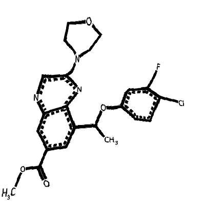 COC(=O)c1cc(C(C)Oc2ccc(Cl)c(F)c2)c2nc(N3CCOCC3)cnc2c1